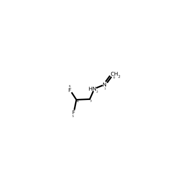 C=NNCC(F)F